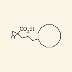 CCOC(=O)C1(CCCC2CCCCCCCCCCC2)CO1